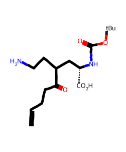 C=CCCC(=O)C(CCN)C[C@H](NC(=O)OC(C)(C)C)C(=O)O